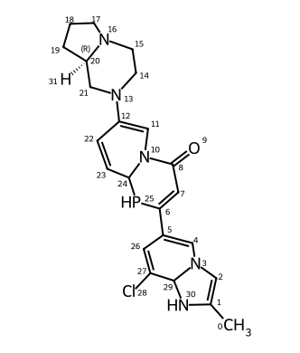 CC1=CN2C=C(C3=CC(=O)N4C=C(N5CCN6CCC[C@@H]6C5)C=CC4P3)C=C(Cl)C2N1